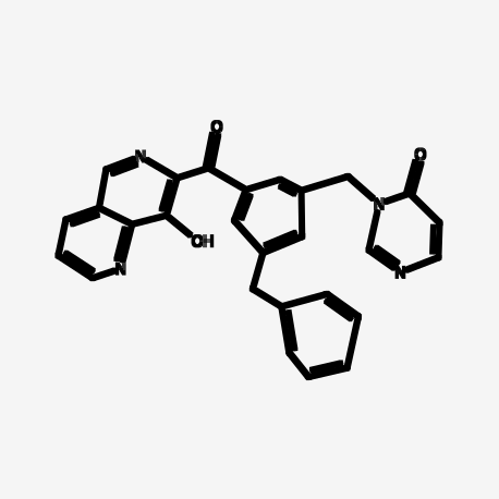 O=C(c1cc(Cc2ccccc2)cc(Cn2cnccc2=O)c1)c1ncc2cccnc2c1O